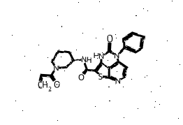 C=CC(=O)N1CCC[C@@H](NC(=O)c2sc3nccc4c3c2NC(=O)N4c2ccccc2)C1